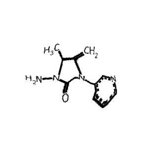 C=C1C(C)N(N)C(=O)N1c1cccnc1